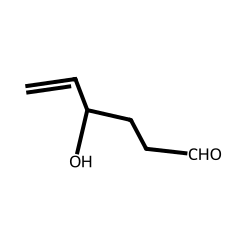 C=CC(O)CCC=O